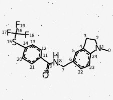 CN1CCc2cc(CNC(=O)c3ccc(SC(F)(F)F)cc3)ccc21